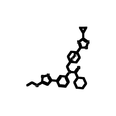 CCOc1cc(-c2cccc(N(CC34CCC(c5nc(C6CC6)no5)(CC3)CC4)C(=O)C3CCCCC3)c2)no1